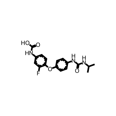 CC(C)NC(=O)Nc1ccc(Oc2ccc(NC(=O)O)cc2F)cc1